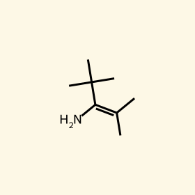 CC(C)=C(N)C(C)(C)C